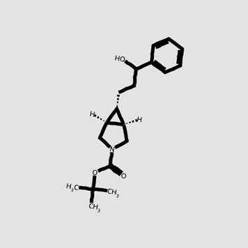 CC(C)(C)OC(=O)N1C[C@@H]2[C@@H](CCC(O)c3ccccc3)[C@@H]2C1